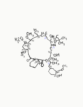 CC[C@@H]1/C=C(\C)C[C@H](C)C[C@H](OC)[C@H]2O[C@@](O)(CC(=O)N3CCCC[C@H]3C(=O)O[C@H](/C(C)=C/[C@@H]3CC[C@@H](O)[C@H](OC)C3)[C@H](C)[C@@H](O)C/C1=N/OC(C)(C)C)[C@H](C)C[C@@H]2OC